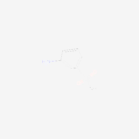 Nc1cccc(S(=O)(=O)N=O)c1